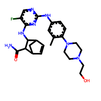 Cc1cc(Nc2ncc(F)c(NC3C4C=CC(C4)C3C(N)=O)n2)ccc1N1CCN(CCO)CC1